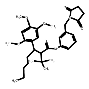 CCCCCC(c1cc(OC)c(OC)cc1OC)C(C(=O)Nc1cccc(CN2C(=O)CCC2=O)c1)C(C)(C)C